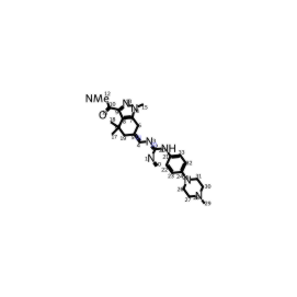 C=N/C(=N\C=C1/Cc2c(c(C(=O)NC)nn2C)C(C)(C)C1)Nc1ccc(N2CCN(C)CC2)cc1